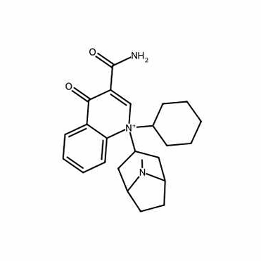 CN1C2CCC1CC([N+]1(C3CCCCC3)C=C(C(N)=O)C(=O)c3ccccc31)C2